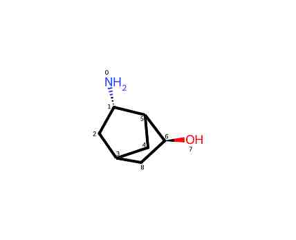 N[C@H]1CC2CC1[C@@H](O)C2